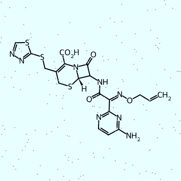 C=CCON=C(C(=O)NC1C(=O)N2C(C(=O)O)=C(CSc3nncs3)CS[C@@H]12)c1nccc(N)n1